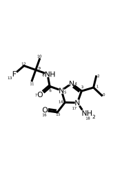 CC(C)C1=NN(C(=O)NC(C)(C)CF)C(C=O)N1N